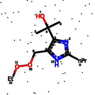 CCCc1nc(C(C)(C)O)c(COOCC)[nH]1